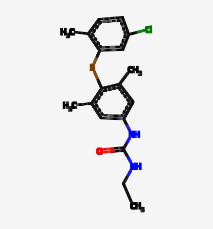 CCNC(=O)Nc1cc(C)c(Sc2cc(Cl)ccc2C)c(C)c1